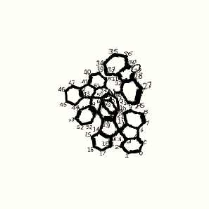 C1=CCC2C(=C1)C1C=CCCC1C21C2=C(C=CCC2)C2=C1CC(N(C1CC=Cc3oc4c(c31)CCCC4)C1CCC=C3C4=C(CCCC4)C(C4=CCCC=C4)(C4=CCCCC4)C31)CC2